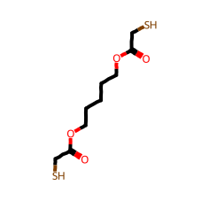 O=C(CS)OCCCCCOC(=O)CS